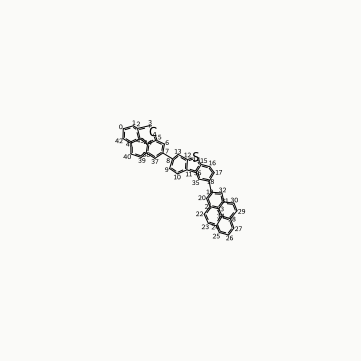 c1cc2ccc3cc(-c4ccc5c(c4)sc4ccc(-c6cc7ccc8cccc9ccc(c6)c7c89)cc45)cc4ccc(c1)c2c34